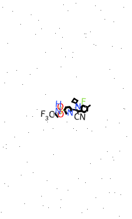 Cc1ccc2c(C#N)c(-c3ccc(S(=O)(=O)N[C@@H](C)C(F)(F)F)cn3)n(C3CCC3)c2c1F